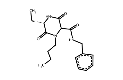 CCCCN1C(=O)[C@H](CC)NC(=O)C1C(=O)NCc1ccccc1